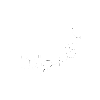 C=CCC(CC)OO[C@]1(CC)CCCC(OC(=O)Nc2ccn([C@@H]3O[C@H](CO)[C@@H](O)[C@@H]3O)c(=O)n2)C1